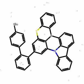 CC(C)(C)c1ccc(-c2ccccc2-c2cc3c4c(c2)-n2c5ccccc5c5cccc(c52)B4c2ccccc2S3)cc1